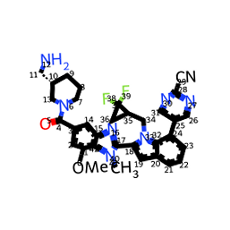 COc1cc(C(=O)N2CCC[C@@H](CN)C2)cc2nc(-c3cc4cccc(-c5cnc(C#N)nc5)c4n3CC3CC3(F)F)n(C)c12